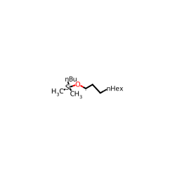 CCCCCCCC[CH]O[Si](C)(C)CCCC